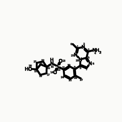 Cc1nc(N)c2ncc(-c3cc(S(=O)(=O)NC45CCC(O)(CC4)C5)ccc3C)n2n1